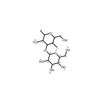 CC1OC(CO)C(I)C(OC2OC(CO)C(O)C(O)C2O)C1N